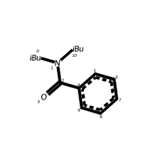 CCC(C)N(C(=O)c1ccccc1)C(C)CC